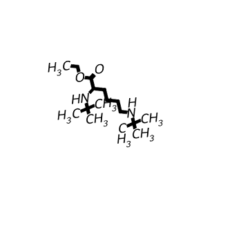 CCOC(=O)C(CCCCNC(C)(C)C)NC(C)(C)C